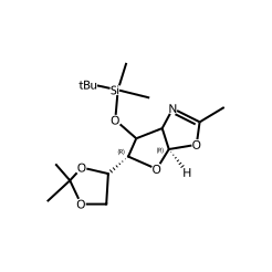 CC1=NC2C(O[Si](C)(C)C(C)(C)C)[C@@H](C3COC(C)(C)O3)O[C@@H]2O1